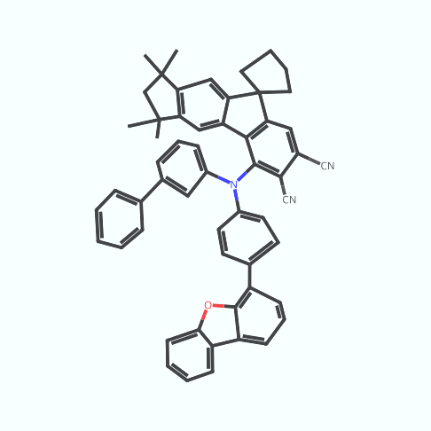 CC1(C)CC(C)(C)c2cc3c(cc21)-c1c(cc(C#N)c(C#N)c1N(c1ccc(-c2cccc4c2oc2ccccc24)cc1)c1cccc(-c2ccccc2)c1)C31CCCC1